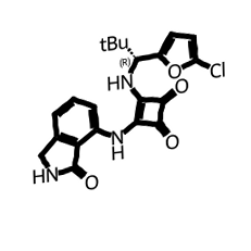 CC(C)(C)[C@@H](Nc1c(Nc2cccc3c2C(=O)NC3)c(=O)c1=O)c1ccc(Cl)o1